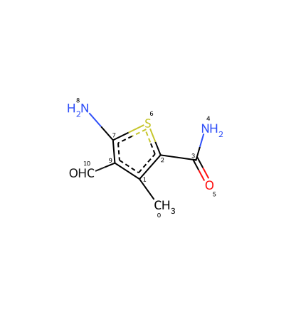 Cc1c(C(N)=O)sc(N)c1C=O